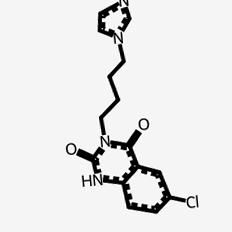 O=c1[nH]c2ccc(Cl)cc2c(=O)n1CCCCn1ccnc1